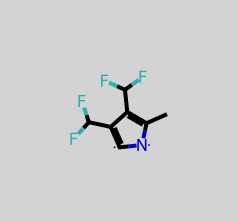 CC1=C(C(F)F)C(C(F)F)=[C][N]1